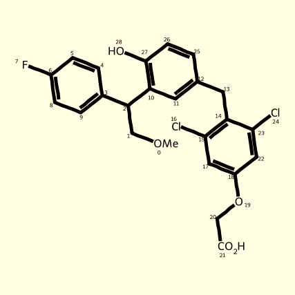 COCC(c1ccc(F)cc1)c1cc(Cc2c(Cl)cc(OCC(=O)O)cc2Cl)ccc1O